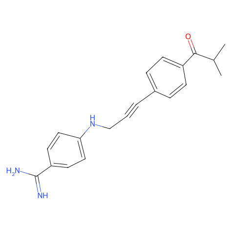 CC(C)C(=O)c1ccc(C#CCNc2ccc(C(=N)N)cc2)cc1